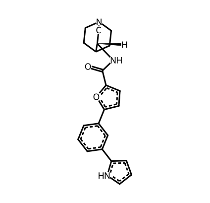 O=C(N[C@H]1CN2CCC1CC2)c1ccc(-c2cccc(-c3ccc[nH]3)c2)o1